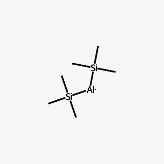 C[Si](C)(C)[Al][Si](C)(C)C